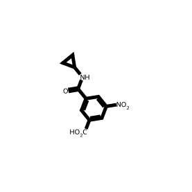 O=C(O)c1cc(C(=O)NC2CC2)cc([N+](=O)[O-])c1